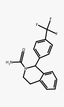 NC(=O)N1CCc2ccccc2C1c1ccc(C(F)(F)F)cc1